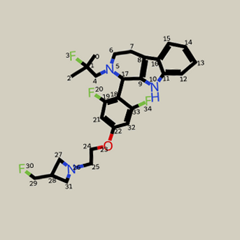 CC(C)(F)CN1CCc2c([nH]c3ccccc23)C1c1c(F)cc(OCCN2CC(CF)C2)cc1F